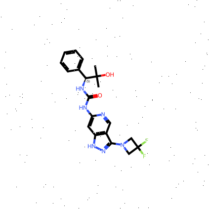 CC(C)(O)[C@@H](NC(=O)Nc1cc2[nH]nc(N3CC(F)(F)C3)c2cn1)c1ccccc1